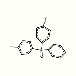 Cc1ccc(P(=O)(c2ccccc2)c2ccc(F)cc2)cc1